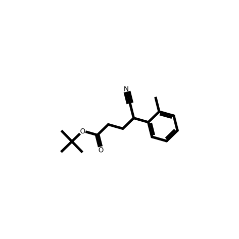 Cc1ccccc1C(C#N)CCC(=O)OC(C)(C)C